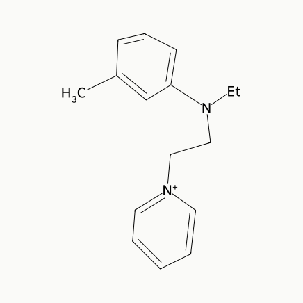 CCN(CC[n+]1ccccc1)c1cccc(C)c1